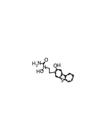 NC(=O)N(O)CCc1cc2sc3ccccc3c2cc1O